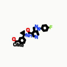 COC(=O)c1cccc(C2(NC(=O)c3cncc4c3cnn4-c3ccc(F)cc3)CC2)c1